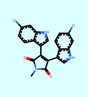 CN1C(=O)C(c2c[nH]c3cc(Cl)ccc23)=C(c2c[nH]c3cc(Cl)ccc23)C1=O